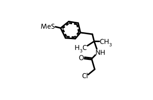 CSc1ccc(CC(C)(C)NC(=O)CCl)cc1